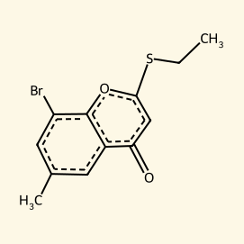 CCSc1cc(=O)c2cc(C)cc(Br)c2o1